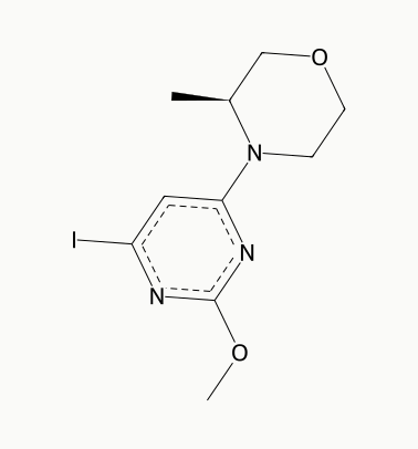 COc1nc(I)cc(N2CCOC[C@@H]2C)n1